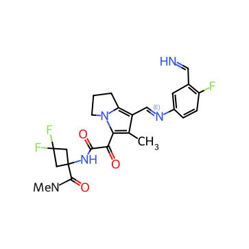 CNC(=O)C1(NC(=O)C(=O)c2c(C)c(/C=N/c3ccc(F)c(C=N)c3)c3n2CCC3)CC(F)(F)C1